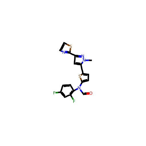 Cn1nc(-c2nccs2)cc1-c1ccc(N(C=O)c2ccc(F)cc2F)s1